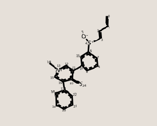 C=CC=C[S+]([O-])c1cccc(-c2cn(C)cc(-c3ccccc3)c2=S)c1